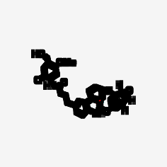 COc1cc(NC(=O)CCCc2ccc(NC(=O)O[C@H]3C[C@H]4[C@@H]5O[C@@H]5[C@H](C3)N4C)c(-c3ccccc3)c2)c(Cl)cc1CO